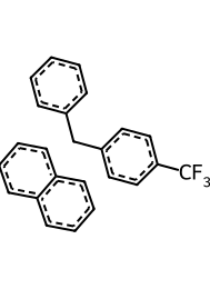 FC(F)(F)c1ccc(Cc2ccccc2)cc1.c1ccc2ccccc2c1